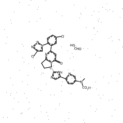 CN(C(=O)O)c1ccc(-c2cnc([C@@H]3CCc4nc(-c5cc(Cl)ccc5-n5cc(Cl)nn5)cc(=O)n43)[nH]2)nc1.O=CO